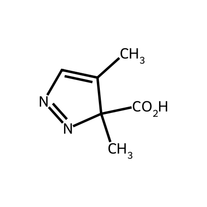 CC1=CN=NC1(C)C(=O)O